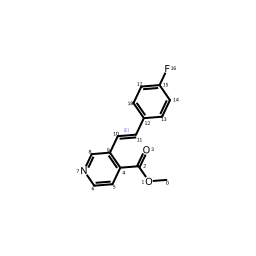 COC(=O)c1ccncc1/C=C/c1ccc(F)cc1